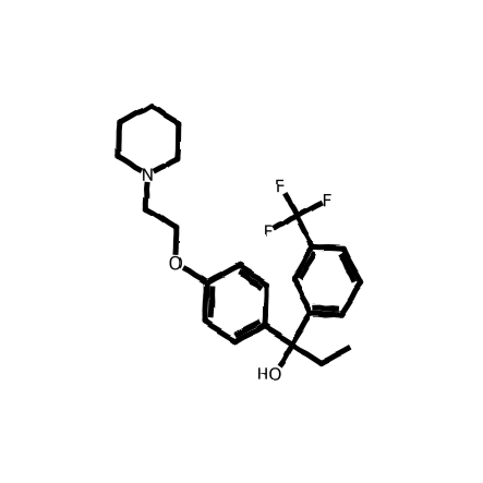 CCC(O)(c1ccc(OCCN2CCCCC2)cc1)c1cccc(C(F)(F)F)c1